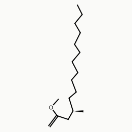 C=C(C[C@H](C)CCCCCCCCCCC)OC